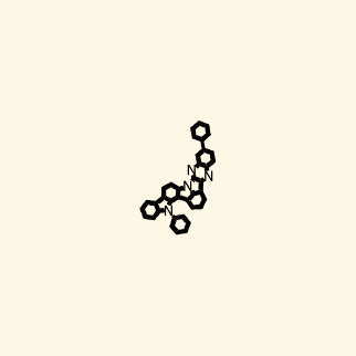 c1ccc(-c2ccc3nc4c5cccc6c7c8c(ccc7n(c4nc3c2)c56)c2ccccc2n8-c2ccccc2)cc1